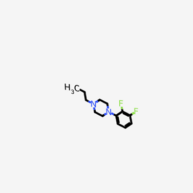 CCCN1CCN(c2cccc(F)c2F)CC1